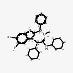 CO[C@@H](c1ccccc1)c1nc2cc(F)c(F)cc2n1[C@@H](C(=O)NC1CCCCC1)C1CCCCC1